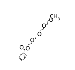 COCCOCCOCCOCCOC(=O)C1CC2C=CC1C2